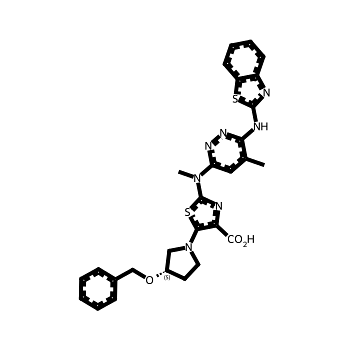 Cc1cc(N(C)c2nc(C(=O)O)c(N3CC[C@H](OCc4ccccc4)C3)s2)nnc1Nc1nc2ccccc2s1